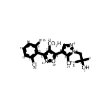 CC(C)(O)Cn1ncc(-c2onc(-c3c(F)cccc3Cl)c2C(=O)O)c1C(F)(F)F